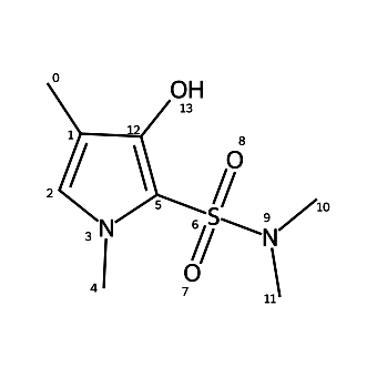 Cc1cn(C)c(S(=O)(=O)N(C)C)c1O